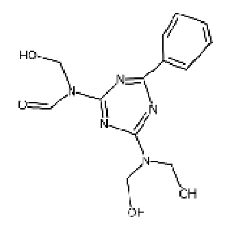 O=CN(CO)c1nc(-c2ccccc2)nc(N(CO)CO)n1